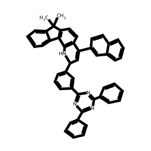 CC1(C)c2ccccc2-c2c1ccc1c2NC(c2cccc(-c3nc(-c4ccccc4)nc(-c4ccccc4)n3)c2)C=C1c1ccc2ccccc2c1